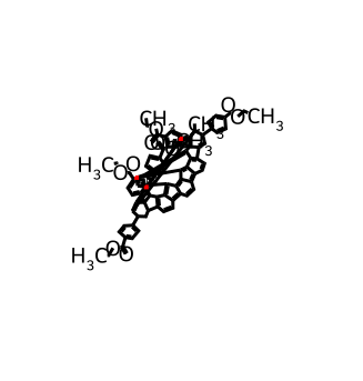 CCOC(=O)c1ccc(C2CC3c4ccc5c6ccc7c8ccc9c%10c%11c%12c%13c%14c%15c(c4c5c%14c6c7c%13c%108)C3(c3ccc(C(=O)OCC)cc3)C3=C2C2(C)C(=C3[C@]%12%15c3ccc(C(=O)OCC)cc3)C%11(c3ccc(C(=O)OCC)cc3)C9=CC2c2ccc(C(=O)OCC)cc2)cc1